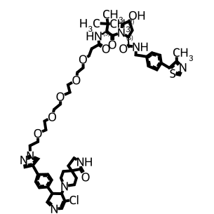 Cc1ncsc1-c1ccc(CNC(=O)[C@@H]2C[C@@H](O)CN2C(=O)[C@@H](NC(=O)CCOCCOCCOCCOCCOCCn2cc(-c3ccc(C4C=NC=C(Cl)C4N4CCC5(CCNC5=O)CC4)cc3)cn2)C(C)(C)C)cc1